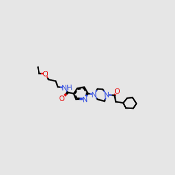 CCOCCCNC(=O)c1ccc(N2CCN(C(=O)CC3CCCCC3)CC2)nc1